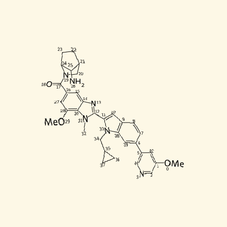 COc1cncc(-c2ccc3cc(-c4nc5cc(C(=O)N6CC7CCC6C7N)cc(OC)c5n4C)n(CC4CC4)c3c2)c1